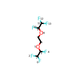 FC(F)C(F)OCCOC(F)C(F)F